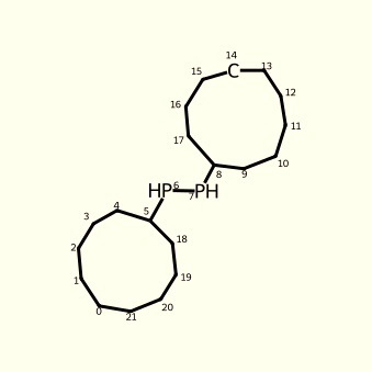 C1CCCCC(PPC2CCCCCCCCC2)CCCC1